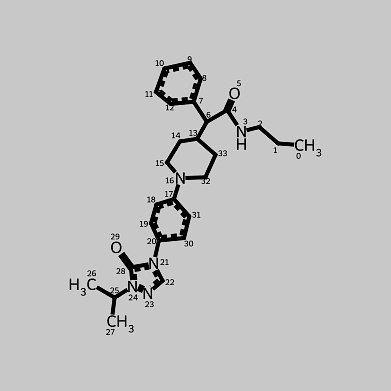 CCCNC(=O)C(c1ccccc1)C1CCN(c2ccc(-n3cnn(C(C)C)c3=O)cc2)CC1